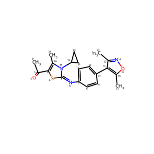 CC(=O)c1sc(=Nc2ccc(-c3c(C)noc3C)cc2)n(C2CC2)c1C